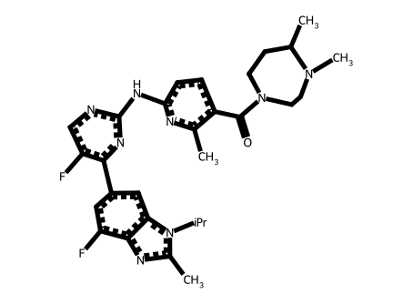 Cc1nc(Nc2ncc(F)c(-c3cc(F)c4nc(C)n(C(C)C)c4c3)n2)ccc1C(=O)N1CCC(C)N(C)CC1